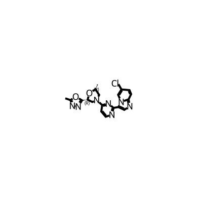 Cc1nnc([C@H]2CN(c3ccnc(-c4cnc5ccc(Cl)cn45)n3)C[C@@H](C)O2)o1